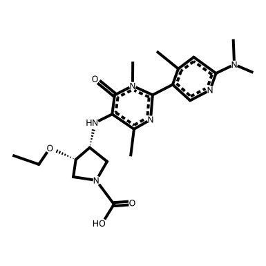 CCO[C@H]1CN(C(=O)O)C[C@H]1Nc1c(C)nc(-c2cnc(N(C)C)cc2C)n(C)c1=O